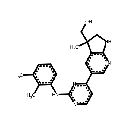 Cc1cccc(Nc2nccc(-c3cnc4c(c3)C(C)(CO)CN4)n2)c1C